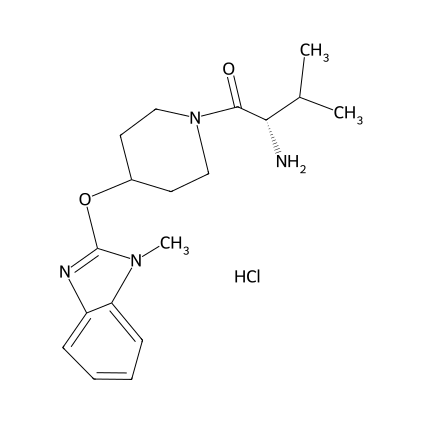 CC(C)[C@H](N)C(=O)N1CCC(Oc2nc3ccccc3n2C)CC1.Cl